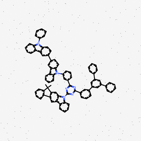 CC1(C)c2ccccc2-c2cc3c4ccccc4n(-c4nc(-c5cccc(-c6cc(-c7ccccc7)cc(-c7ccccc7)c6)c5)nc(-c5cccc(-n6c7ccccc7c7cc(-c8ccc9c(c8)c8ccccc8n9-c8ccccc8)ccc76)c5)n4)c3cc21